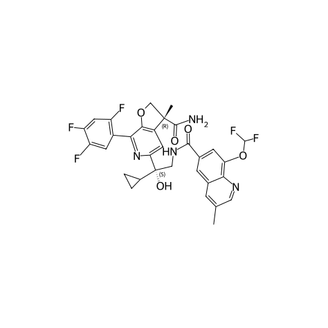 Cc1cnc2c(OC(F)F)cc(C(=O)NC[C@](O)(c3cc4c(c(-c5cc(F)c(F)cc5F)n3)OC[C@]4(C)C(N)=O)C3CC3)cc2c1